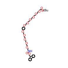 CC(C)(C)OC(=O)COCCOCCOCCOCCOCCOc1ccc(OCCOCCOCCOCCOCCNC(=O)OCC2c3ccccc3-c3ccccc32)cc1